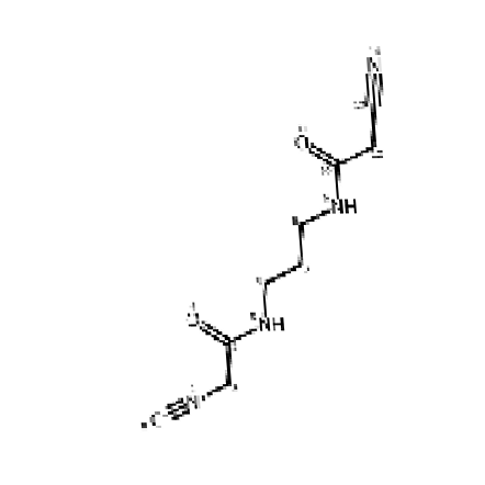 [C-]#[N+]CC(=O)NCCCNC(=O)CC#N